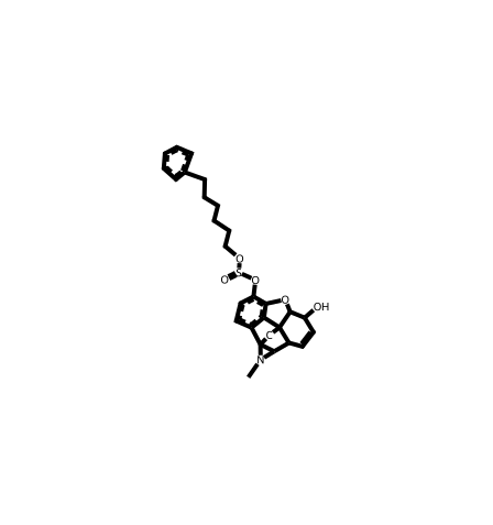 CN1C2C3C=CC(O)C4Oc5c(OS(=O)OCCCCCCc6ccccc6)ccc6c5C34CC621